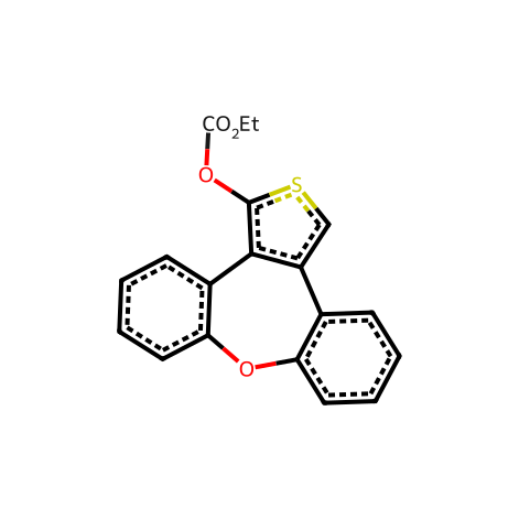 CCOC(=O)Oc1scc2c1-c1ccccc1Oc1ccccc1-2